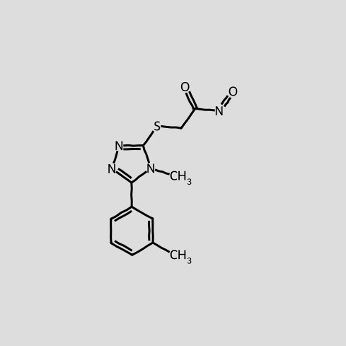 Cc1cccc(-c2nnc(SCC(=O)N=O)n2C)c1